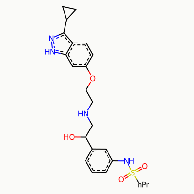 CCCS(=O)(=O)Nc1cccc(C(O)CNCCOc2ccc3c(C4CC4)n[nH]c3c2)c1